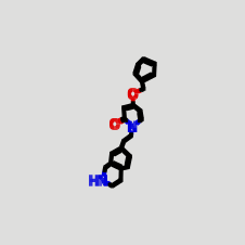 O=c1cc(OCc2ccccc2)ccn1CCc1ccc2c(c1)CNCC2